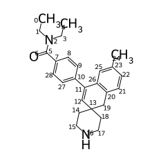 CCN(CC)C(=O)c1ccc(C2=CC3(CCNCC3)Cc3ccc(C)cc32)cc1